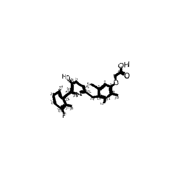 Cc1cc(OCC(=O)O)c(C)c(C)c1Cc1ccc(O)c(-c2cccc(F)c2C)n1